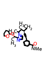 C=C[C@@H](C#Cc1cccc(C(=O)NC)c1)[C@@H](C)C(C)n1ccnc1[C@H](C)OC1CCCCO1